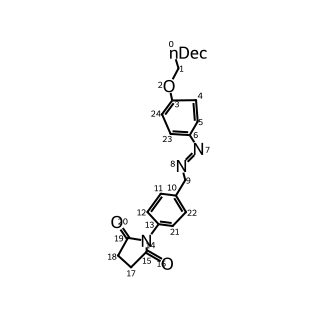 [CH2]CCCCCCCCCCOc1ccc(N=NCc2ccc(N3C(=O)CCC3=O)cc2)cc1